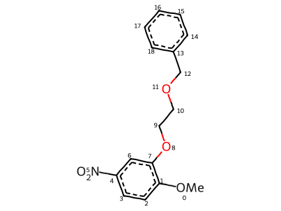 COc1ccc([N+](=O)[O-])cc1OCCOCc1ccccc1